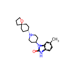 Cc1ccc2[nH]c(=O)n(C3CCN([C@H]4CC[C@]5(CCCO5)CC4)CC3)c2c1